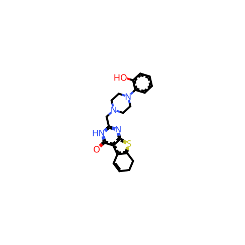 O=c1[nH]c(CN2CCN(c3ccccc3O)CC2)nc2sc3c(c12)C=CCC3